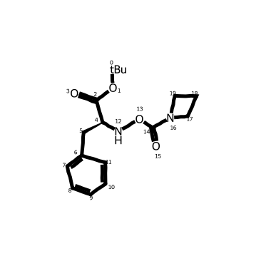 CC(C)(C)OC(=O)[C@H](Cc1ccccc1)NOC(=O)N1CCC1